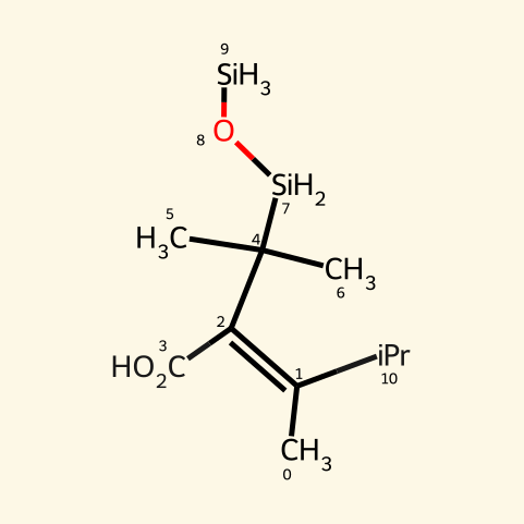 CC(=C(C(=O)O)C(C)(C)[SiH2]O[SiH3])C(C)C